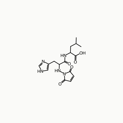 CC(C)CC(NC(=O)C(Cc1c[nH]cn1)NN1C(=O)C=CC1=O)C(=O)O